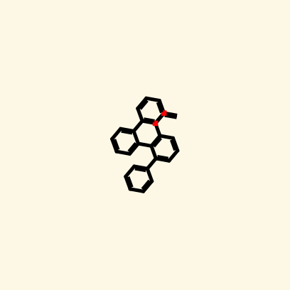 C=CCc1cccc(-c2ccccc2)c1-c1ccccc1-c1ccccc1